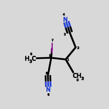 CC(CC#N)C(C)(I)C#N